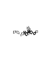 CCOC(=O)Cn1ncc2c1CCC[C@H]2NS(=O)(=O)c1ccc(-c2cccc(Cl)c2)cc1